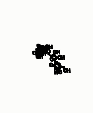 O=c1[nH]c(=O)n([C@@H]2O[C@H](COP(=O)(O)OP(=O)(O)OP(=O)(O)O)[C@@H](O)[C@H]2O)cc1CO